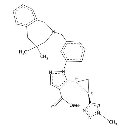 COC(=O)c1cnn(-c2cccc(CN3Cc4ccccc4CC(C)(C)C3)c2)c1[C@@H]1C[C@H]1c1cn(C)nn1